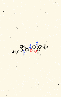 C=C/C=C(\CCC)Nc1ccc(NC(=O)c2ccc(N/C(=C/C=C)c3cc(OC)ccc3C)cc2)cc1